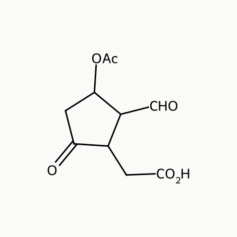 CC(=O)OC1CC(=O)C(CC(=O)O)C1C=O